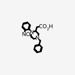 O=C(O)CC1CN(Cc2ccccc2)CCN1c1ccccc1[N+](=O)[O-]